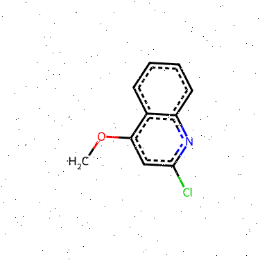 [CH2]Oc1cc(Cl)nc2ccccc12